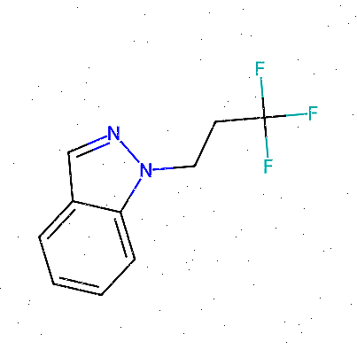 FC(F)(F)CCn1ncc2ccccc21